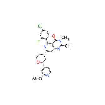 COc1cc([C@H]2C[C@@H](c3cc4nc(C)n(C)c(=O)c4c(-c4ccc(Cl)cc4F)n3)CCO2)ccn1